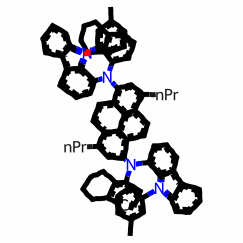 CCCc1cc(N(c2cccc3c2CCCC3)c2cccc3c4ccccc4n(-c4cccc(C)c4)c23)c2ccc3c(CCC)cc(N(c4cccc5c4CCCC5)c4cccc5c6ccccc6n(-c6cccc(C)c6)c45)c4ccc1c2c34